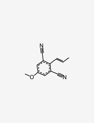 CC=Cc1c(C#N)cc(OC)cc1C#N